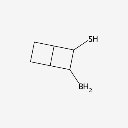 BC1C(S)C2CCC12